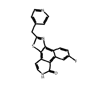 O=c1[nH]ccc2c3sc(Cc4ccncc4)nc3c3ccc(F)cc3c12